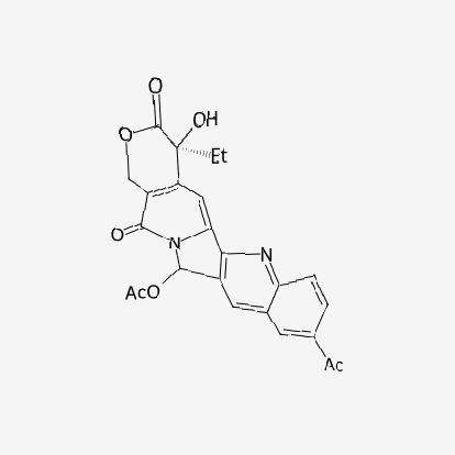 CC[C@@]1(O)C(=O)OCc2c1cc1n(c2=O)C(OC(C)=O)c2cc3cc(C(C)=O)ccc3nc2-1